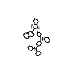 c1ccc(N(c2ccccc2)c2ccc(N(c3ccccc3)c3ccc(-c4nc5ccccc5nc4-c4ccc5ccccc5c4)cc3)cc2)cc1